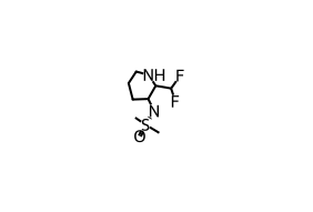 CS(C)(=O)=NC1CCCNC1C(F)F